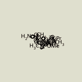 CC[C@H](C)[C@@H]([C@@H](CC(=O)N1CCC[C@H]1[C@H](OC)[C@@H](C)C(=O)N[C@@H](Cc1ccccc1)C(=O)N(c1ccc(N)cc1)S(C)(=O)=O)OC)N(C)C(=O)[C@@H](NC(=O)[C@H](C(C)C)N(C)C)C(C)C